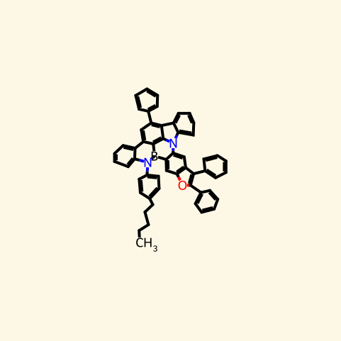 CCCCCc1ccc(N2B3c4cc5oc(-c6ccccc6)c(-c6ccccc6)c5cc4-n4c5ccccc5c5c(-c6ccccc6)cc(c3c54)-c3ccccc32)cc1